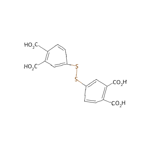 O=C(O)c1ccc(SSc2ccc(C(=O)O)c(C(=O)O)c2)cc1C(=O)O